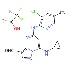 N#Cc1cnc(Nc2cc(NC3CC3)n3ncc(C=O)c3n2)c(Cl)c1.O=C(O)C(F)(F)F